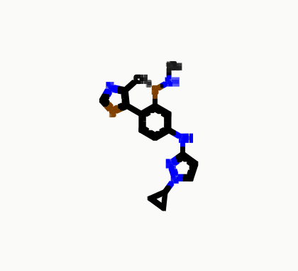 Cc1ncsc1-c1ccc(Nc2ccn(C3CC3)n2)cc1SNC(C)(C)C